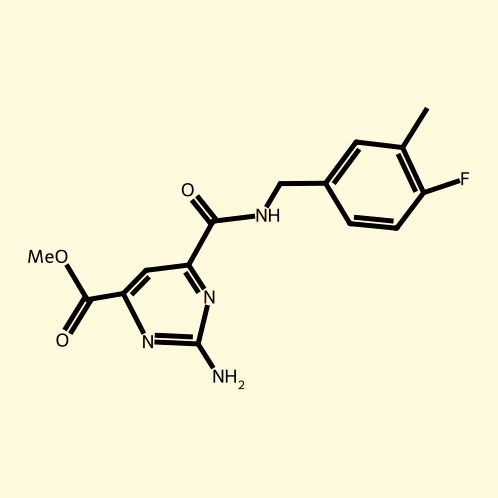 COC(=O)c1cc(C(=O)NCc2ccc(F)c(C)c2)nc(N)n1